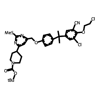 CSc1nc(COc2ccc(C(C)(C)c3cc(Cl)c(OCCCl)c(C#N)c3)cc2)cc(C2CCN(C(=O)OC(C)(C)C)CC2)n1